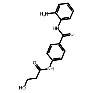 Nc1ccccc1NC(=O)c1ccc(NC(=O)CCO)cc1